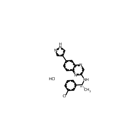 C[C@@H](Nc1cnc2cc(-c3cn[nH]c3)ccc2n1)c1cccc(Cl)c1.Cl